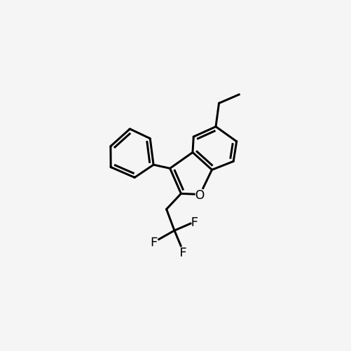 CCc1ccc2oc(CC(F)(F)F)c(-c3ccccc3)c2c1